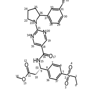 CCS(=O)(=O)c1ccc([C@H](CC(=O)OC)NC(=O)c2cnc(N3CCCC3c3cccc(F)c3)nc2)cc1